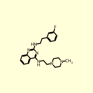 CN1CCN(CCNc2nc(NCCc3cccc(F)c3)nc3ccccc23)CC1